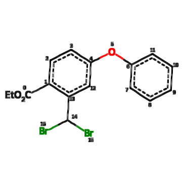 CCOC(=O)c1ccc(Oc2ccccc2)cc1C(Br)Br